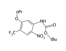 CCCOc1cc(NC(=O)OC(C)(C)C)c([N+](=O)[O-])cc1C(F)(F)F